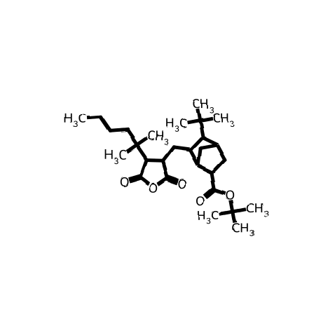 CCCCC(C)(C)C1C(=O)OC(=O)C1CC1C2CC(CC2C(=O)OC(C)(C)C)C1C(C)(C)C